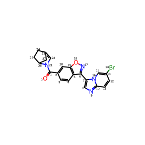 O=C(c1ccc2c(-c3cnc4ccc(Br)cn34)noc2c1)N1C=C2CCC1C2